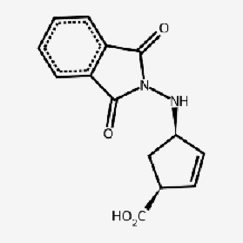 O=C(O)[C@@H]1C=C[C@H](NN2C(=O)c3ccccc3C2=O)C1